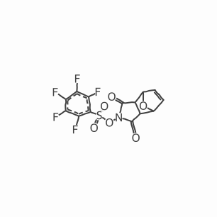 O=C1C2C3C=CC(O3)C2C(=O)N1OS(=O)(=O)c1c(F)c(F)c(F)c(F)c1F